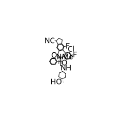 CNC(=O)c1cc2c(c(F)c1-c1c(Cl)c(F)cc3c1[C@H](C)[C@@](CN[C@H]1CC[C@](C)(O)CC1)(c1ccccc1)O3)CCC2C#N